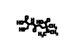 CN(C)[C@@](C)(CCC(=O)N[C@@H](CS)C(=O)O)C(=O)O